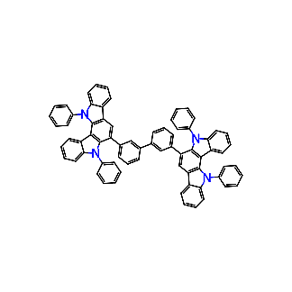 c1ccc(-n2c3ccccc3c3c2c(-c2cccc(-c4cccc(-c5cc6c7ccccc7n(-c7ccccc7)c6c6c7ccccc7n(-c7ccccc7)c56)c4)c2)cc2c4ccccc4n(-c4ccccc4)c23)cc1